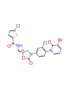 O=C(NC[C@H]1CN(c2ccc(-n3cccc(Br)c3=O)c(Cl)c2)C(=O)O1)c1ccc(Cl)s1